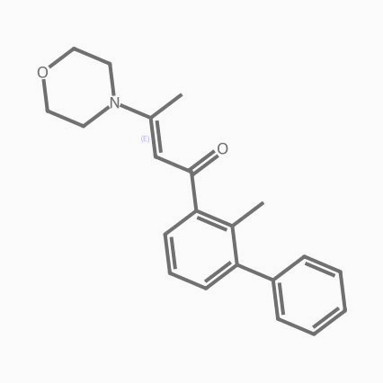 C/C(=C\C(=O)c1cccc(-c2ccccc2)c1C)N1CCOCC1